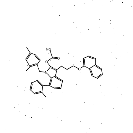 Cc1ccc(Cn2c(OC(=O)O)c(CCCOc3cccc4ccccc34)c3cccc(-c4ccccc4C)c32)c(C)c1